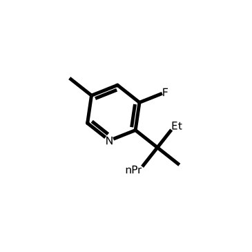 CCCC(C)(CC)c1ncc(C)cc1F